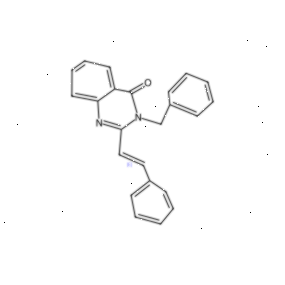 O=c1c2ccccc2nc(/C=C/c2ccccc2)n1Cc1ccccc1